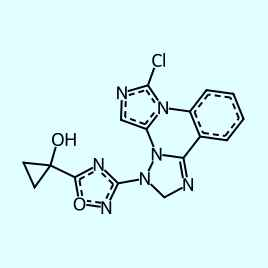 OC1(c2nc(N3CN=C4c5ccccc5-n5c(cnc5Cl)N43)no2)CC1